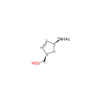 CC(=O)N[C@@H]1C=C[C@H](CO)C1